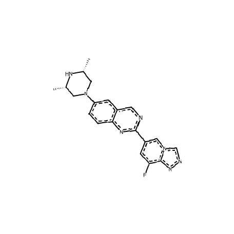 C[C@@H]1CN(c2ccc3nc(-c4cc(F)c5nncn5c4)ncc3c2)C[C@H](C)N1